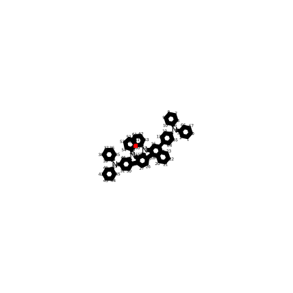 c1ccc(N(c2ccccc2)c2ccc(-c3cc4c(c5ccccc35)c3ccc5c6ccc(N(c7ccccc7)c7ccccc7)cc6n(-c6ccccc6)c5c3n4-c3ccccc3)cc2)cc1